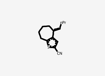 CCCC=C1CCCCc2sc(C#N)cc21